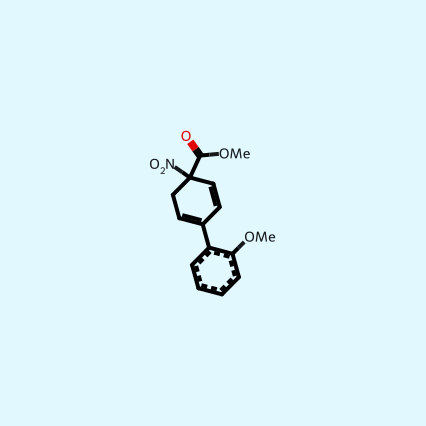 COC(=O)C1([N+](=O)[O-])C=CC(c2ccccc2OC)=CC1